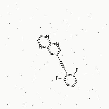 Fc1cccc(F)c1C#Cc1cnc2nccnc2c1